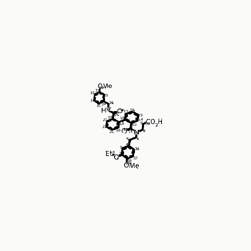 CCOc1cc(CCN(CCC(=O)O)C(=O)c2ccccc2-c2ccccc2C(=O)NCc2cccc(OC)c2)ccc1OC